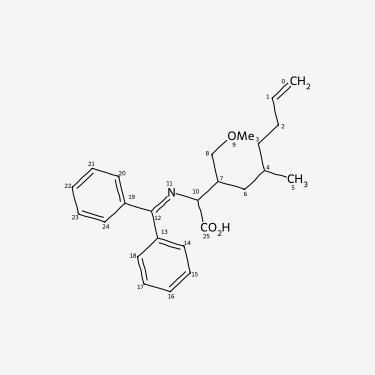 C=CCCC(C)CC(COC)C(N=C(c1ccccc1)c1ccccc1)C(=O)O